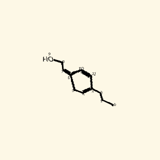 CCCC1=CCC(=CCO)C=C1